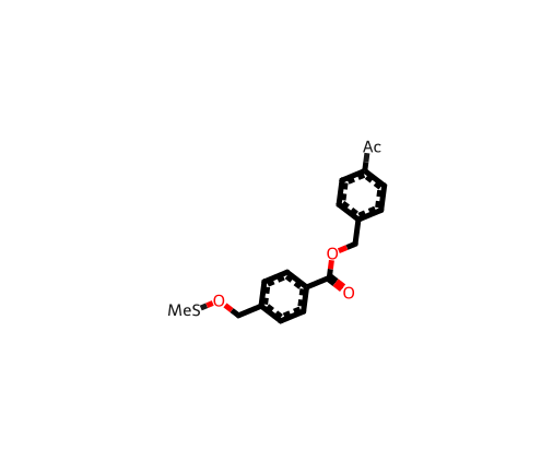 CSOCc1ccc(C(=O)OCc2ccc(C(C)=O)cc2)cc1